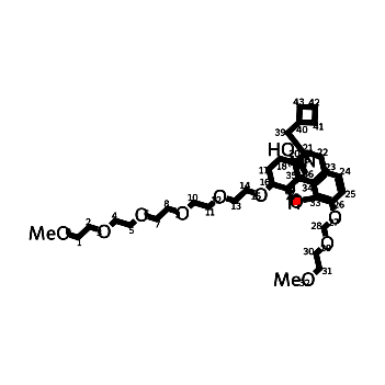 COCCOCCOCCOCCOCCOC1CC[C@@]2(O)C3Cc4ccc(OCOCCOC)c5c4[C@@]2(CCN3CC2CCC2)[C@H]1O5